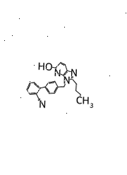 CCCCc1nc2ccc(O)nc2n1Cc1ccc(-c2ccccc2C#N)cc1